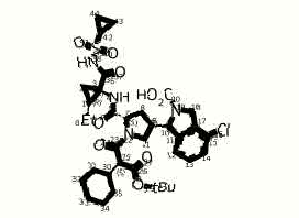 CC[C@@H]1C[C@]1(NC(=O)[C@@H]1C[C@@H](C2c3cccc(Cl)c3CN2C(=O)O)CN1C(=O)[C@@H](C(=O)OC(C)(C)C)C1CCCCC1)C(=O)NS(=O)(=O)C1CC1